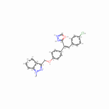 Cn1nc(COc2ccc(/C(=C/c3ccc(Cl)cc3)c3nnco3)cc2)c2ccccc21